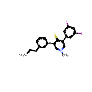 CCCc1cccc(-c2cn(C)cc(-c3cc(I)cc(I)c3)c2=S)c1